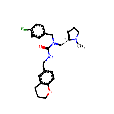 CN1CCC[C@H]1CN(Cc1ccc(F)cc1)C(=O)NCc1ccc2c(c1)CCCO2